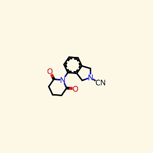 N#CN1Cc2cccc(N3C(=O)CCCC3=O)c2C1